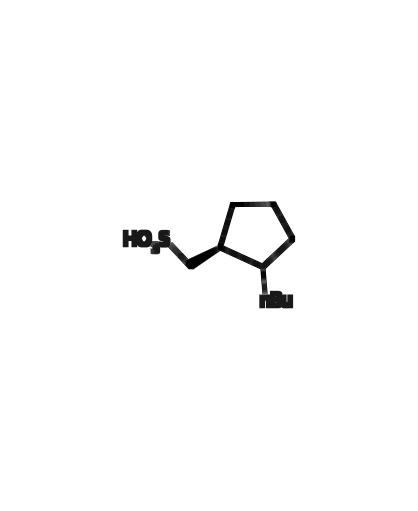 CCCCC1CCC[C@@H]1CS(=O)(=O)O